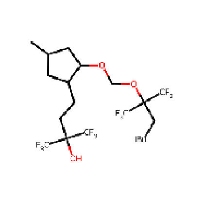 CCC(C)CC(OCOC1CC(C)CC1CCC(O)(C(F)(F)F)C(F)(F)F)(C(F)(F)F)C(F)(F)F